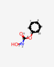 O=C([N]O)Oc1ccccc1